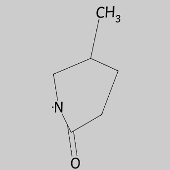 CC1CCC(=O)[N]C1